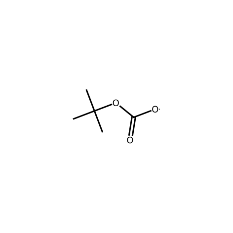 CC(C)(C)OC([O])=O